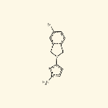 Cn1ccc(N2Cc3ccc(Br)cc3C2)n1